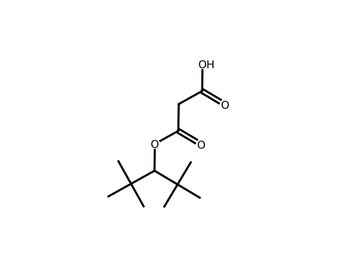 CC(C)(C)C(OC(=O)CC(=O)O)C(C)(C)C